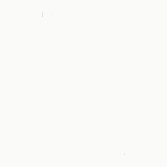 Cc1cccc(CCc2cccc(C=O)c2)c1